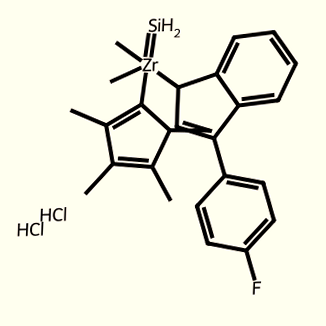 CC1=C(C)C(C)[C]([Zr]([CH3])([CH3])(=[SiH2])[CH]2C=C(c3ccc(F)cc3)c3ccccc32)=C1C.Cl.Cl